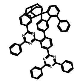 c1ccc(-c2nc(-c3ccccc3)nc(-c3ccc(-c4ccc5c(c4)-c4c(-c6ccccc6)cccc4C54C5CC6CC(C5)CC4C6)c(-c4nc(-c5ccccc5)nc(-c5ccccc5)n4)c3)n2)cc1